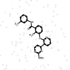 CNc1nccc(-c2cccnc2Oc2cccc(C(=O)Nc3cccc(C(F)(F)F)c3)c2C)n1